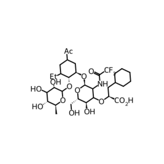 CCC1CC(C(C)=O)C[C@@H](O[C@@H]2O[C@@H](CO)[C@H](O)C(O[C@@H](CC3CCCCC3)C(=O)O)C2NC(=O)C(F)(F)F)[C@@H]1OC1O[C@@H](C)[C@H](O)C(O)[C@@H]1O